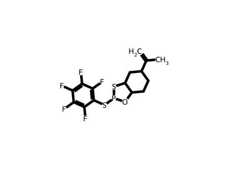 C=C(C)C1CCC2OP(Sc3c(F)c(F)c(F)c(F)c3F)SC2C1